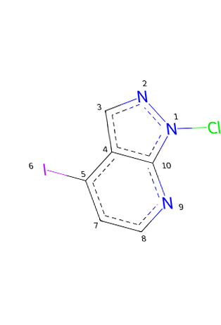 Cln1ncc2c(I)ccnc21